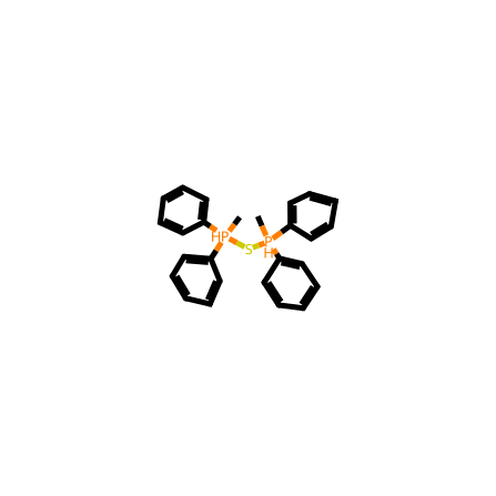 C[PH](S[PH](C)(c1ccccc1)c1ccccc1)(c1ccccc1)c1ccccc1